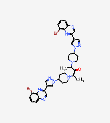 CC(C(=O)C(C)N1CCC(n2cc(-c3cnc4cccc(Br)c4n3)cn2)CC1)N1CCC(n2cc(-c3cnc4cccc(Br)c4n3)cn2)CC1